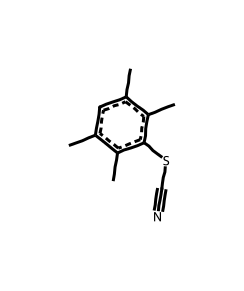 Cc1cc(C)c(C)c(SC#N)c1C